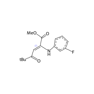 COC(=O)/C(=C/C(=O)C(C)(C)C)Nc1cccc(F)c1